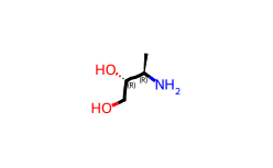 C[C@@H](N)[C@@H](O)CO